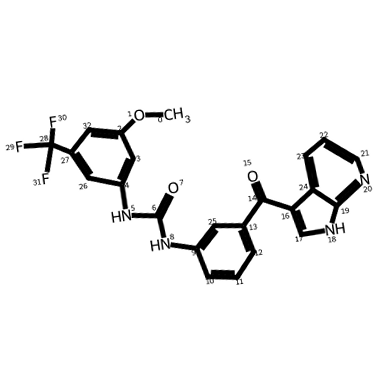 COc1cc(NC(=O)Nc2cccc(C(=O)c3c[nH]c4ncccc34)c2)cc(C(F)(F)F)c1